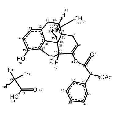 CC(=O)OC(C(=O)OC1=CC[C@@]2(O)[C@H]3Cc4ccc(O)c5c4[C@@]2(CCN3C)[C@H]1O5)c1ccccc1.O=C(O)C(F)(F)F